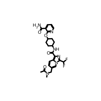 CC(=O)N(C)Cc1ccc2c(C(=O)NC3CCC(Oc4ncccc4C(N)=O)CC3)nc(C(F)F)n2c1